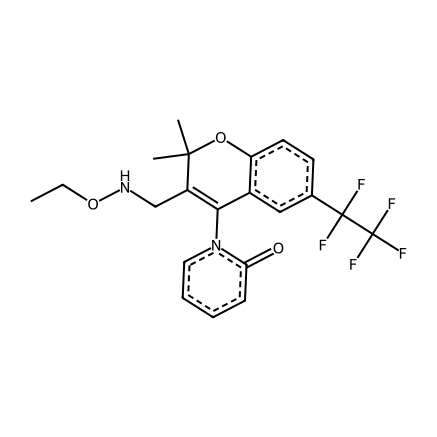 CCONCC1=C(n2ccccc2=O)c2cc(C(F)(F)C(F)(F)F)ccc2OC1(C)C